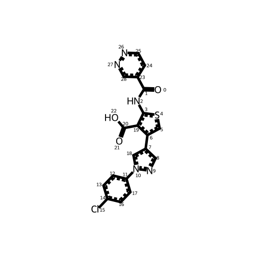 O=C(Nc1scc(-c2cnn(-c3ccc(Cl)cc3)c2)c1C(=O)O)c1ccnnc1